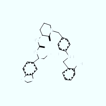 Cc1ccccc1CNc1ccc(CN2CCC[C@H](NC(=O)N[C@@H](CC(=O)O)c3ccc4c(c3)OCO4)C2=O)cc1